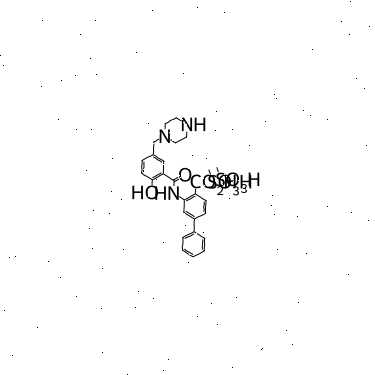 CS(=O)(=O)O.CS(=O)(=O)O.O=C(Nc1cc(-c2ccccc2)ccc1C(=O)O)c1cc(CN2CCNCC2)ccc1O